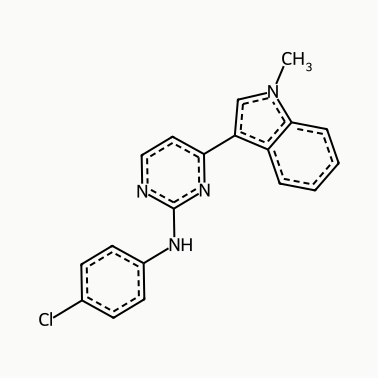 Cn1cc(-c2ccnc(Nc3ccc(Cl)cc3)n2)c2ccccc21